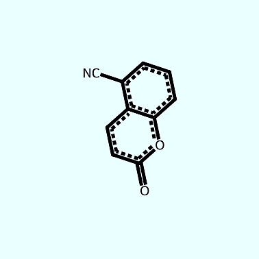 N#Cc1cccc2oc(=O)ccc12